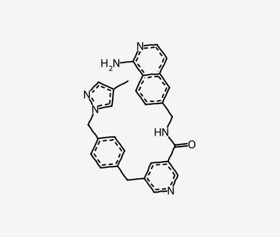 Cc1cnn(Cc2ccc(Cc3cncc(C(=O)NCc4ccc5c(N)nccc5c4)c3)cc2)c1